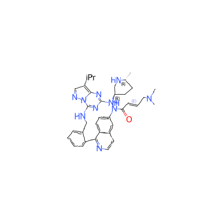 CC(C)c1cnn2c(NCc3ccccc3-c3nccc4cc(NC(=O)/C=C/CN(C)C)ccc34)nc(N[C@@H]3CC[C@@H](C)NC3)nc12